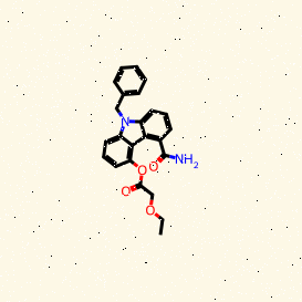 CCOCC(=O)Oc1cccc2c1c1c(C(N)=O)cccc1n2Cc1ccccc1